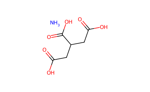 N.O=C(O)CC(CC(=O)O)C(=O)O